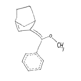 COC(=C1C=C2CCC1C2)c1ccccc1